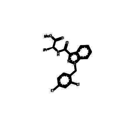 COC(=O)[C@@H](NC(=O)c1nn(Cc2ccc(Cl)cc2Cl)c2ccccc12)C(C)C